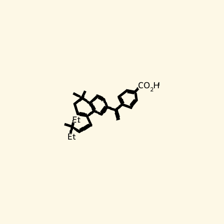 C=C(c1ccc(C(=O)O)cc1)c1ccc2c(c1)C(/C=C\C(C)(CC)CC)=CCC2(C)C